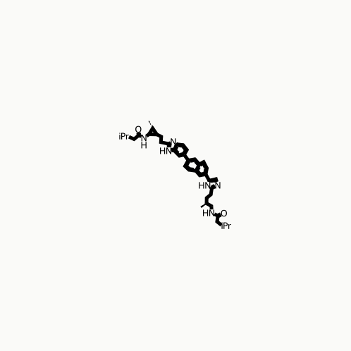 CC(C)CC(=O)NC[C@@H](C)CCc1ncc(-c2ccc3cc(-c4ccc5nc(CCC6C(NC(=O)CC(C)C)[C@@H]6C)[nH]c5c4)ccc3c2)[nH]1